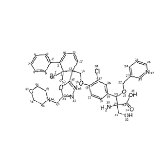 CC1(Br)C(c2ccccc2)=CC=CC1(COc1ccc(C(OCc2cccnc2)C(N)(CO)C(=O)O)cc1Cl)c1nnc(CN2CCOCC2)o1